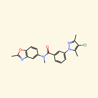 Cc1nc2cc(N(C)C(=O)c3cccc(-n4nc(C)c(Cl)c4C)c3)ccc2o1